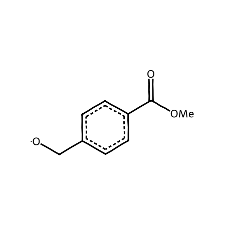 COC(=O)c1ccc(C[O])cc1